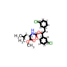 COC(=O)[C@H](CC(C)C)NC(=O)OC(Cc1cccc(Cl)c1)c1cccc(Cl)c1